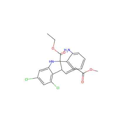 CCOC(=O)C1(c2ccccc2N)Nc2cc(Cl)cc(Cl)c2C1C=CC(=O)OC